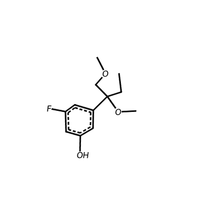 CCC(COC)(OC)c1cc(O)cc(F)c1